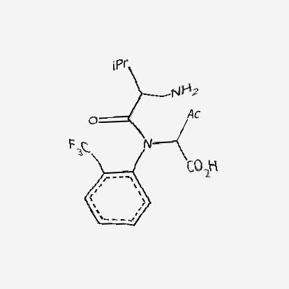 CC(=O)C(C(=O)O)N(C(=O)C(N)C(C)C)c1ccccc1C(F)(F)F